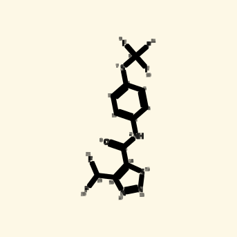 O=C(Nc1ccc(SC(F)(F)F)cc1)c1snnc1C(F)F